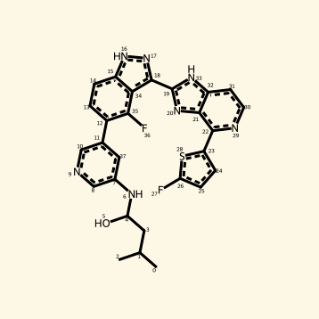 CC(C)CC(O)Nc1cncc(-c2ccc3[nH]nc(-c4nc5c(-c6ccc(F)s6)nccc5[nH]4)c3c2F)c1